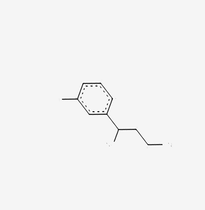 CC(C)c1cccc(C(C#N)CCC#N)c1